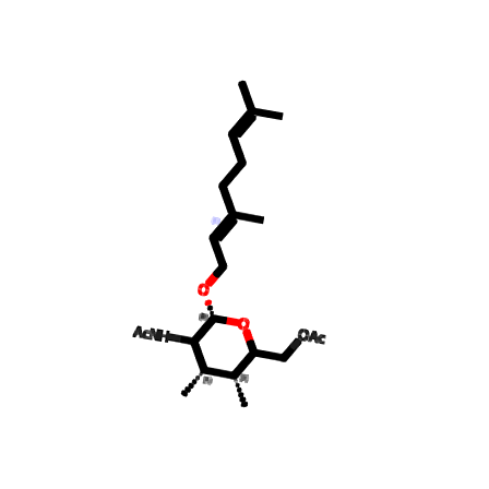 CC(=O)NC1[C@H](OC/C=C(\C)CCC=C(C)C)OC(COC(C)=O)[C@H](C)[C@@H]1C